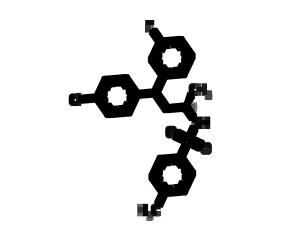 Cc1ccc(S(=O)(=O)N[C@H](C)CC(c2ccc(Cl)cc2)c2cccc(F)c2)cc1